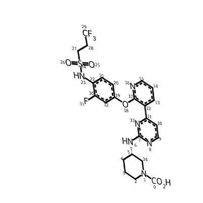 O=C(O)N1CCC[C@H](Nc2nccc(-c3cccnc3Oc3ccc(NS(=O)(=O)CCC(F)(F)F)c(F)c3)n2)C1